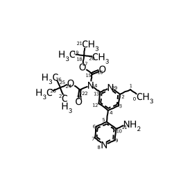 CCc1cc(-c2ccncc2N)cc(N(C(=O)OC(C)(C)C)C(=O)OC(C)(C)C)n1